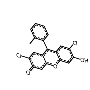 Cc1ccccc1-c1c2cc(Cl)c(=O)cc-2oc2cc(O)c(Cl)cc12